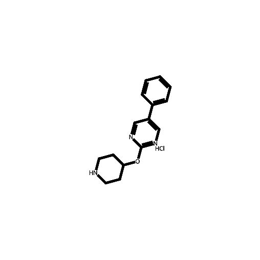 Cl.c1ccc(-c2cnc(OC3CCNCC3)nc2)cc1